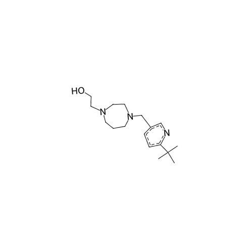 CC(C)(C)c1ccc(CN2CCCN(CCO)CC2)cn1